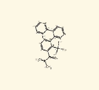 CN(C)C(=O)c1ccc(F)c(-c2ccccc2-c2ccccc2)c1C(F)(F)F